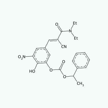 CCN(CC)C(=O)/C(C#N)=C/c1cc(OC(=O)OC(C)c2ccccc2)c(O)c([N+](=O)[O-])c1